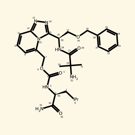 CC(C)C[C@H](NC(=O)OCc1cccc2nnc([C@@H](COCc3ccccc3)NC(=O)C(C)(C)N)n12)C(N)=O